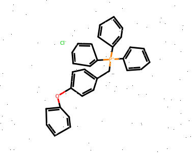 [Cl-].c1ccc(Oc2ccc(C[P+](c3ccccc3)(c3ccccc3)c3ccccc3)cc2)cc1